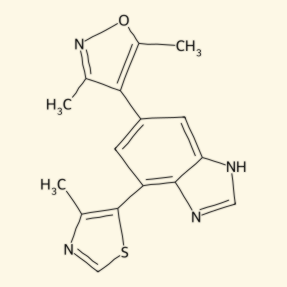 Cc1ncsc1-c1cc(-c2c(C)noc2C)cc2[nH]cnc12